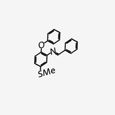 CSc1ccc(Oc2ccccc2)c(N=Cc2ccccc2)c1